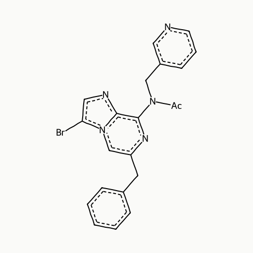 CC(=O)N(Cc1cccnc1)c1nc(Cc2ccccc2)cn2c(Br)cnc12